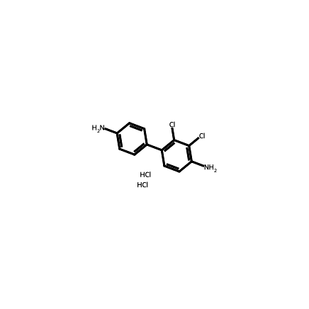 Cl.Cl.Nc1ccc(-c2ccc(N)c(Cl)c2Cl)cc1